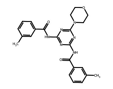 Cc1cccc(C(=O)Nc2nc(NC(=O)c3cccc(C)c3)nc(N3CCOCC3)n2)c1